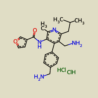 Cc1nc(CC(C)C)c(CN)c(-c2ccc(CN)cc2)c1NC(=O)c1ccoc1.Cl.Cl